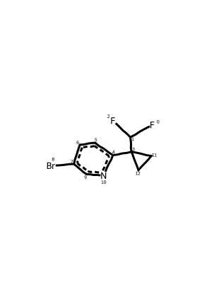 FC(F)C1(c2ccc(Br)cn2)CC1